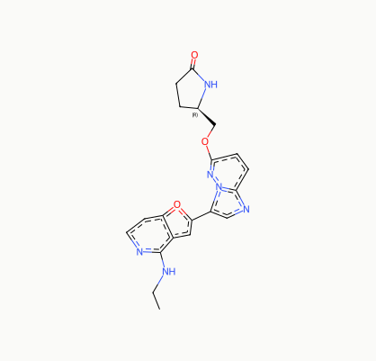 CCNc1nccc2oc(-c3cnc4ccc(OC[C@H]5CCC(=O)N5)nn34)cc12